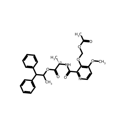 COc1ccnc(C(=O)N[C@@H](C)C(=O)OC(C)C(c2ccccc2)c2ccccc2)c1OCOC(C)=O